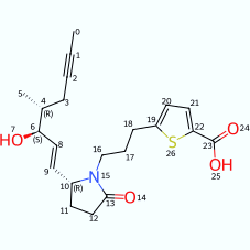 CC#CC[C@@H](C)[C@H](O)C=C[C@H]1CCC(=O)N1CCCc1ccc(C(=O)O)s1